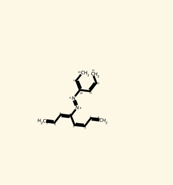 C=C\C=C/C(=C\C=C)/N=N/C(/C=C\C)=C/C